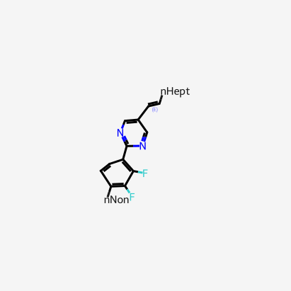 CCCCCCC/C=C/c1cnc(-c2ccc(CCCCCCCCC)c(F)c2F)nc1